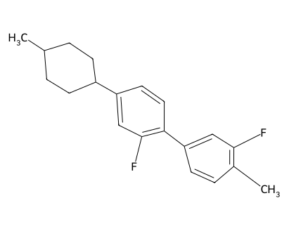 Cc1ccc(-c2ccc(C3CCC(C)CC3)cc2F)cc1F